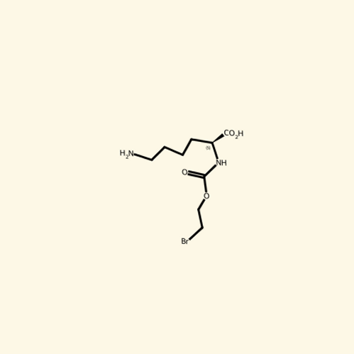 NCCCC[C@H](NC(=O)OCCBr)C(=O)O